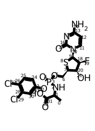 CC(NP(=O)(OC[C@H]1S[C@@H](n2ccc(N)nc2=O)[C@@H](F)[C@@H]1O)Oc1ccc(Cl)c(Cl)c1)C(=O)O